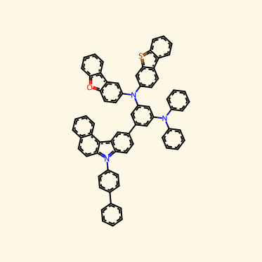 c1ccc(-c2ccc(-n3c4ccc(-c5cc(N(c6ccccc6)c6ccccc6)cc(N(c6ccc7c(c6)sc6ccccc67)c6ccc7oc8ccccc8c7c6)c5)cc4c4c5ccccc5ccc43)cc2)cc1